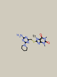 CCn1c(SCc2nc(N)nc(N3CCCCC3)n2)nc2c1c(=O)n(C)c(=O)n2C